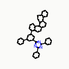 c1ccc(-c2cc(-c3nc(-c4ccccc4)nc(-c4ccccc4)n3)cc(-c3cccc4c3ccc3ccc5c6ccccc6ccc5c34)c2)cc1